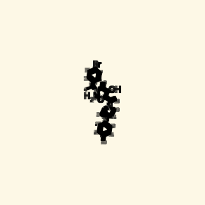 C=C(N[C@@H](C)c1ccc(Br)cc1)C(O)C(ON)C(=C)N1CC2CC1CN2c1ccc(C)cc1